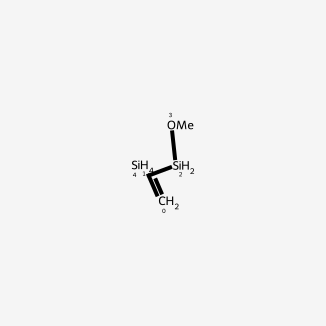 C=C[SiH2]OC.[SiH4]